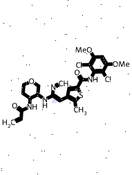 C=CC(=O)NC1CCOCC1N/C(=C/c1cc(C(=O)Nc2c(Cl)c(OC)cc(OC)c2Cl)sc1C)N=C